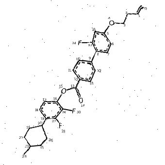 C=CCCOc1ccc(-c2ccc(C(=O)Oc3ccc(C4CCC(C)CC4)c(F)c3F)cc2)c(F)c1